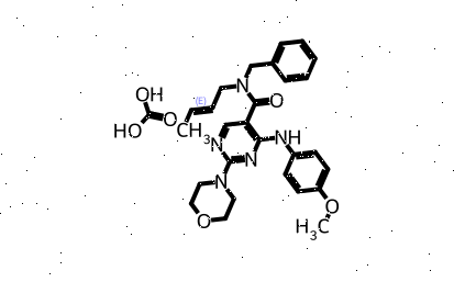 C/C=C/CN(Cc1ccccc1)C(=O)c1cnc(N2CCOCC2)nc1Nc1ccc(OC)cc1.O=C(O)O